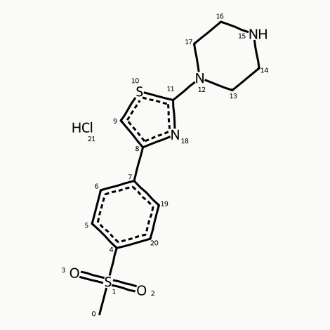 CS(=O)(=O)c1ccc(-c2csc(N3CCNCC3)n2)cc1.Cl